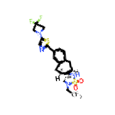 O=S1(=O)N[C@@]2(CN1CC(F)(F)F)[C@@H]1CC[C@H]2Cc2ccc(-c3ncc(N4CC(F)(F)C4)s3)cc2C1